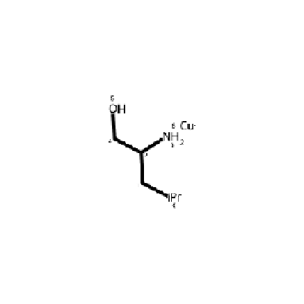 CC(C)CC(N)CO.[Cu]